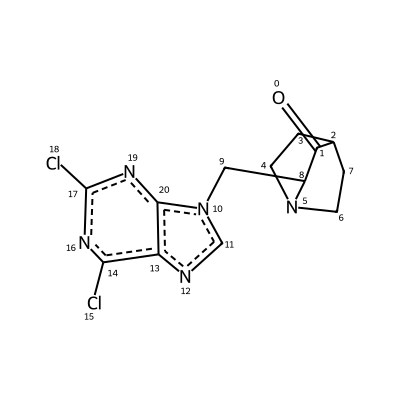 O=C1C2CCN(CC2)C1Cn1cnc2c(Cl)nc(Cl)nc21